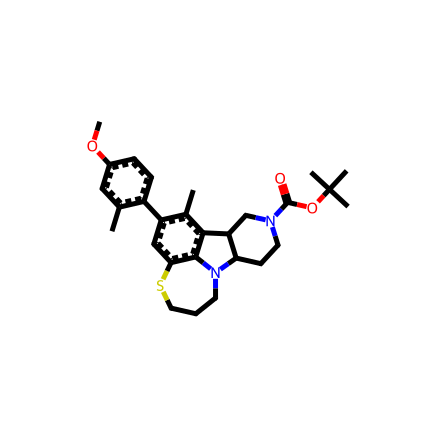 COc1ccc(-c2cc3c4c(c2C)C2CN(C(=O)OC(C)(C)C)CCC2N4CCCS3)c(C)c1